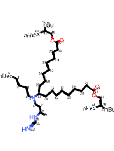 CCCCCCCCCCCCCCN(CCC(C)NC=N)C(CCCCCCCCC(=O)OCC(CCCC)CCCCCC)CCCCCCCCC(=O)OCC(CCCC)CCCCCC